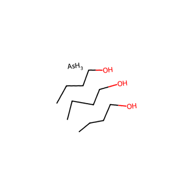 CCCCO.CCCCO.CCCCO.[AsH3]